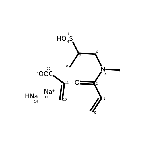 C=CC(=O)N(C)CC(C)S(=O)(=O)O.C=CC(=O)[O-].[Na+].[NaH]